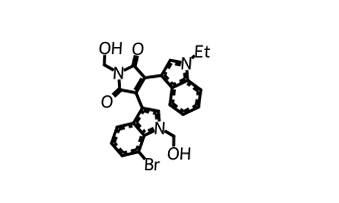 CCn1cc(C2=C(c3cn(CO)c4c(Br)cccc34)C(=O)N(CO)C2=O)c2ccccc21